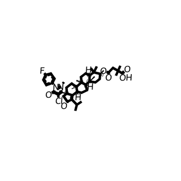 CC(C)C1=C2[C@H]3CC[C@@H]4[C@@]5(C)CC[C@H](OC(=O)CC(C)(C)C(=O)O)C(C)(C)[C@@H]5CC[C@@]4(C)[C@]3(C)CC[C@@]2(c2c(Cl)c(=O)n(-c3ccc(F)cc3)n2C)CC1=O